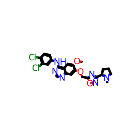 COc1cc2c(Nc3ccc(Cl)c(Cl)c3)ncnc2cc1OCc1nc(C2CCCN2C)no1